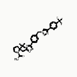 CC(C)(C)C1(Cc2nc(-c3ccc(Cn4cc(-c5ccc(C(F)(F)F)cc5)nn4)cc3)no2)CCCN1C(=O)O